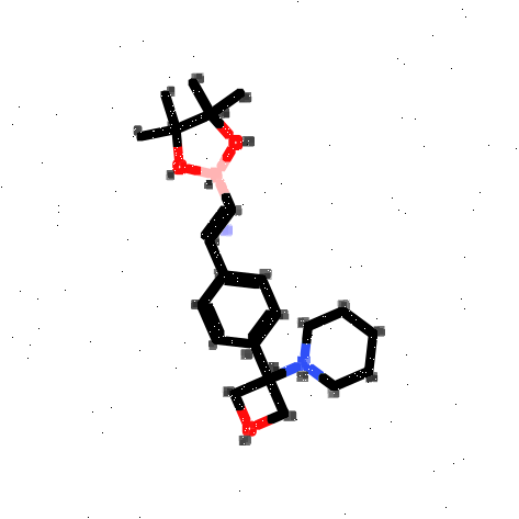 CC1(C)OB(/C=C/c2ccc(C3(N4CCCCC4)COC3)cc2)OC1(C)C